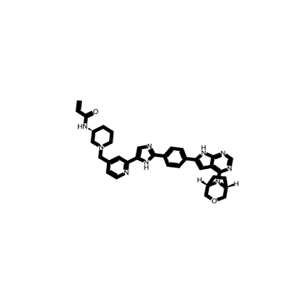 C=CC(=O)N[C@@H]1CCCN(Cc2ccnc(-c3cnc(-c4ccc(-c5cc6c(N7[C@@H]8CC[C@H]7COC8)ncnc6[nH]5)cc4)[nH]3)c2)C1